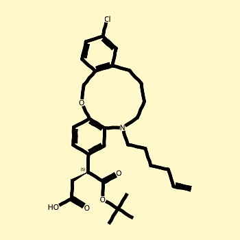 C=CCCCCN1CCCCc2cc(Cl)ccc2COc2ccc([C@H](CC(=O)O)C(=O)OC(C)(C)C)cc21